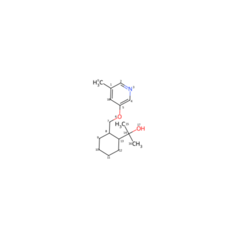 Cc1cncc(OCC2CCCCC2C(C)(C)O)c1